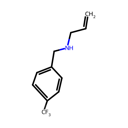 C=CCNCc1ccc(C(F)(F)F)cc1